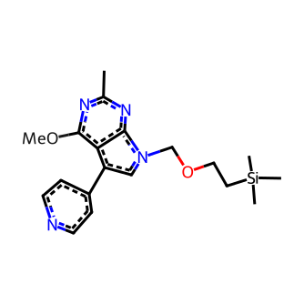 COc1nc(C)nc2c1c(-c1ccncc1)cn2COCC[Si](C)(C)C